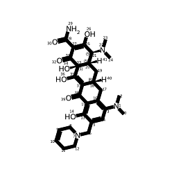 CN(C)c1cc(CN2CC=CCC2)c(O)c2c1C[C@H]1C[C@H]3[C@H](N(C)C)C(O)=C(C(N)=O)C(=O)[C@@]3(O)C(O)=C1C2=O